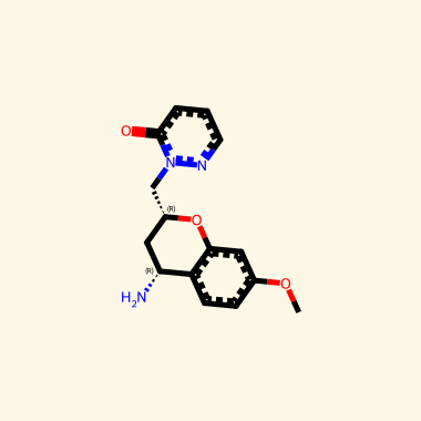 COc1ccc2c(c1)O[C@@H](Cn1ncccc1=O)C[C@H]2N